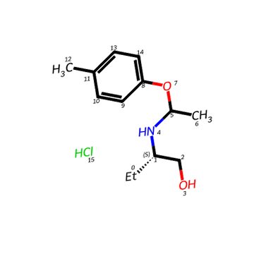 CC[C@@H](CO)NC(C)Oc1ccc(C)cc1.Cl